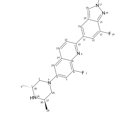 C[C@@H]1CN(c2cc(F)c3nc(-c4cc(F)c5nn(C)cc5c4)ccc3c2)C[C@@H](C)N1